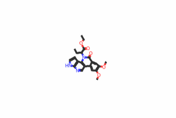 CCOC(=O)C(CC)n1c(=O)c2cc(OC)c(OC)cc2c2cnc3[nH]ccc3c21